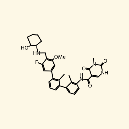 COc1cc(-c2cccc(-c3cccc(NC(=O)c4c[nH]c(=O)n(C)c4=O)c3C)c2C)cc(F)c1CN[C@@H]1CCCC[C@@H]1O